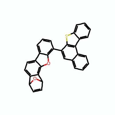 C1=CC2OC1c1ccc3c(oc4c(-c5cc6ccccc6c6c5sc5ccccc56)cccc43)c12